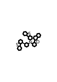 c1cc(-c2cccc3sc4ccccc4c23)cc(N(c2ccc3sc4ccccc4c3c2)c2cccc3oc4c5ccccc5ccc4c23)c1